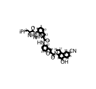 CC(C)CC(N)C(=O)Nc1cccc2cc(C(=O)Nc3ccc4oc(C(=O)N5CCc6c5cc(O)c5ccc(C#N)cc65)cc4c3)[nH]c12